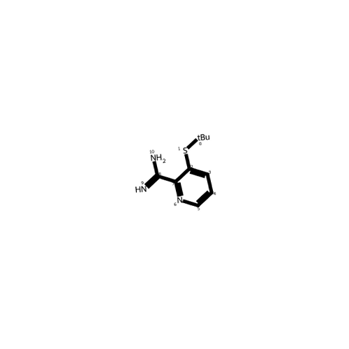 CC(C)(C)Sc1cccnc1C(=N)N